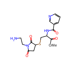 COC(=O)C(CSC1CC(=O)N(CCN)C1=O)NC(=O)c1cccnc1